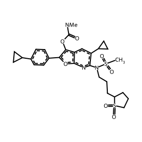 CNC(=O)Oc1c(-c2ccc(C3CC3)cc2)oc2nc(N(CCCC3CCCS3(=O)=O)S(C)(=O)=O)c(C3CC3)cc12